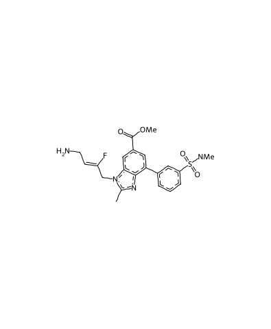 CNS(=O)(=O)c1cccc(-c2cc(C(=O)OC)cc3c2nc(C)n3C/C(F)=C/CN)c1